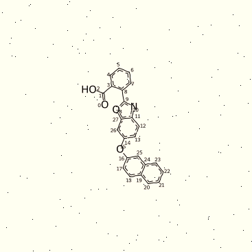 O=C(O)c1ccccc1-c1nc2ccc(Oc3ccc4ccccc4c3)cc2o1